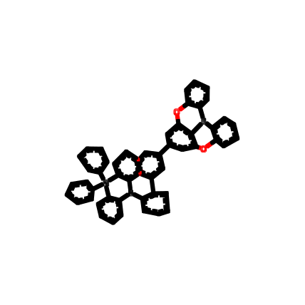 c1ccc([Si]2(c3ccccc3)c3ccccc3B(c3ccccc3-c3cccc(-c4cc5c6c(c4)Oc4ccccc4B6c4ccccc4O5)c3)c3ccccc32)cc1